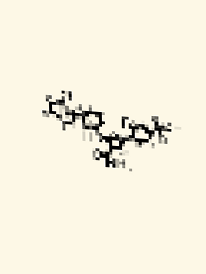 CCC(C)(c1cccc(Nc2sc(-c3ccc(C(C)(C)O)cc3F)cc2C(N)=O)n1)N1CCCC1=O